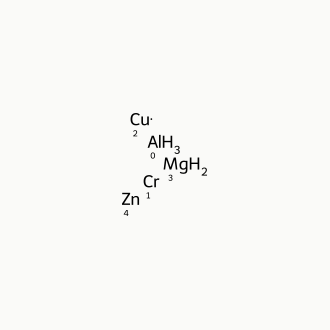 [AlH3].[Cr].[Cu].[MgH2].[Zn]